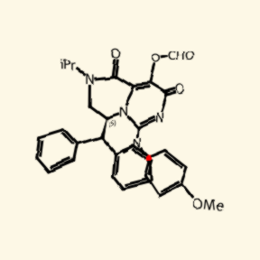 COc1ccc(N(C)c2nc(=O)c(OC=O)c3n2[C@@H](C(c2ccccc2)c2ccccc2)CN(C(C)C)C3=O)cc1